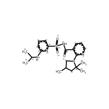 CC1CN(c2ncccc2C(=O)NS(=O)(=O)c2cccc(NC(C)C)n2)C(C)(C)C1